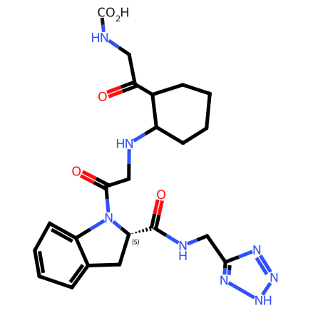 O=C(O)NCC(=O)C1CCCCC1NCC(=O)N1c2ccccc2C[C@H]1C(=O)NCc1nn[nH]n1